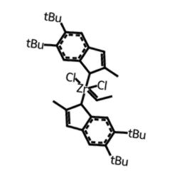 C[CH]=[Zr]([Cl])([Cl])([CH]1C(C)=Cc2cc(C(C)(C)C)c(C(C)(C)C)cc21)[CH]1C(C)=Cc2cc(C(C)(C)C)c(C(C)(C)C)cc21